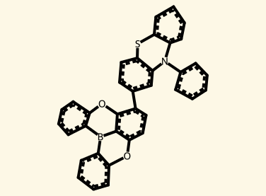 c1ccc(N2c3ccccc3Sc3ccc(-c4ccc5c6c4Oc4ccccc4B6c4ccccc4O5)cc32)cc1